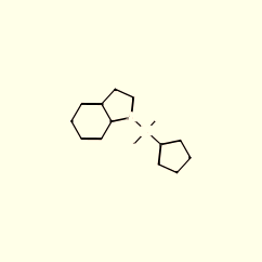 Cl[Si](Cl)(C1CCCC1)N1CCC2CCCCC21